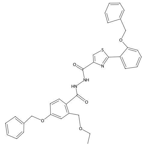 CCOCc1cc(OCc2ccccc2)ccc1C(=O)NNC(=O)c1csc(-c2ccccc2OCc2ccccc2)n1